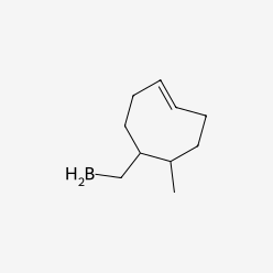 BCC1CC/C=C/CCC1C